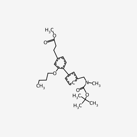 CCCCOc1cc(CCC(=O)OC)ccc1-c1cccc(CN(C)C(=O)OC(C)(C)C)c1